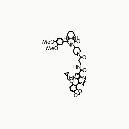 COc1ccc(C2=NN(C3CCN(C(=O)CCNC(=O)c4c[nH]c5c(-c6c(OCC7CC7)ccc7c6OCO7)ncnc45)CC3)C(=O)[C@@H]3CCCC[C@H]23)cc1OC